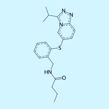 CCCC(=O)NCc1ccccc1Sc1ccc2nnc(C(C)C)n2c1